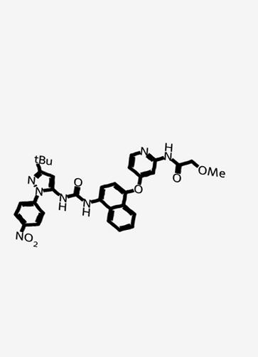 COCC(=O)Nc1cc(Oc2ccc(NC(=O)Nc3cc(C(C)(C)C)nn3-c3ccc([N+](=O)[O-])cc3)c3ccccc23)ccn1